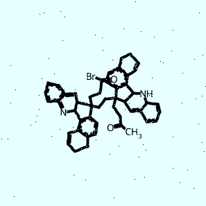 CC(=O)CCC1(CCC2(CCC(=O)Br)c3ccc4c(c3C3N=c5ccccc5=CC32)C=CCC4)c2ccc3c(c2C2NC4C=CC=CC4=CC21)C=CCC3